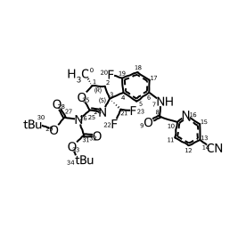 C[C@@H]1C[C@](c2cc(NC(=O)c3ccc(C#N)cn3)ccc2F)(C(F)F)N=C(N(C(=O)OC(C)(C)C)C(=O)OC(C)(C)C)O1